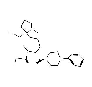 O=C(NO)[C@H]1C[C@H]([C@]2(CO)CCCN2C(=O)O)CC[C@@H]1C(=O)N1CCN(c2ccccc2)CC1